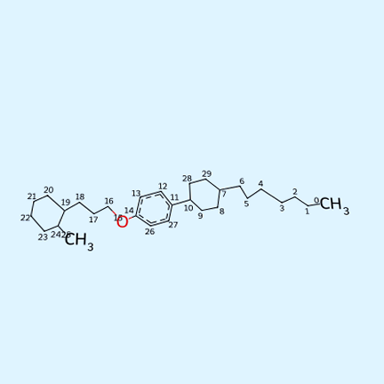 CCCCCCCC1CCC(c2ccc(OCCCC3CCCCC3C)cc2)CC1